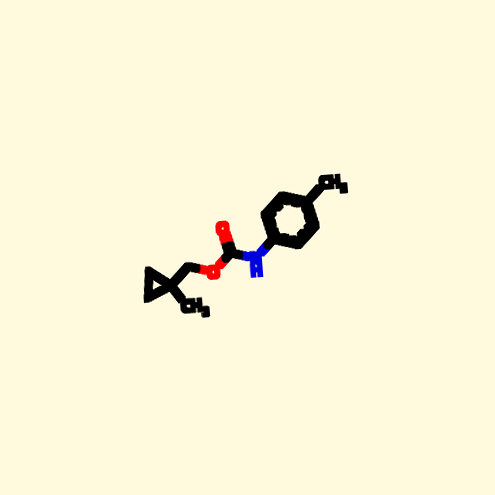 Cc1ccc(NC(=O)OCC2(C)CC2)cc1